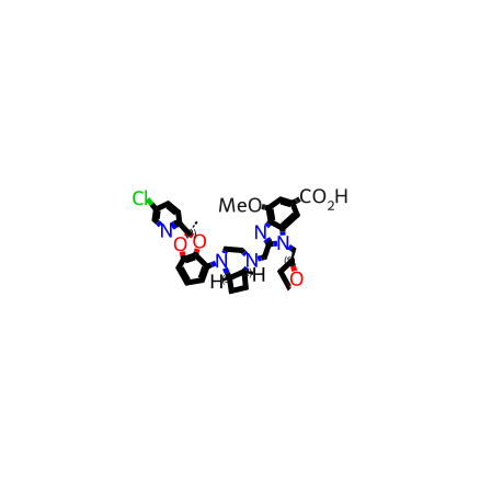 COc1cc(C(=O)O)cc2c1nc(CN1CCN(c3cccc4c3O[C@](C)(c3ccc(Cl)cn3)O4)[C@H]3CC[C@H]31)n2C[C@@H]1CCO1